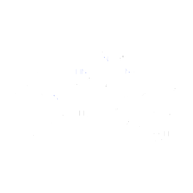 Cc1ccc(F)c2c1cc(C)n2CCNc1cc(-c2ccc(C(=O)O)c(OC(F)(F)F)c2)ncn1